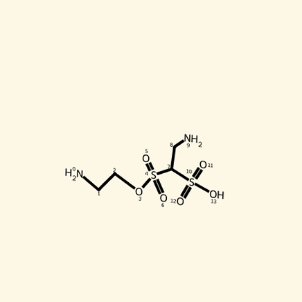 NCCOS(=O)(=O)C(CN)S(=O)(=O)O